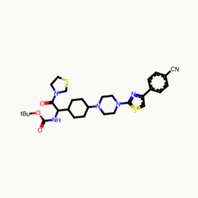 CC(C)(C)OC(=O)NC(C(=O)N1CCSC1)C1CCC(N2CCN(c3nc(-c4ccc(C#N)cc4)cs3)CC2)CC1